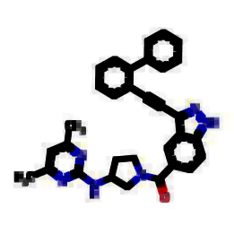 Cc1cc(C)nc(NC2CCN(C(=O)c3ccc4[nH]nc(C#Cc5ccccc5-c5ccccc5)c4c3)C2)n1